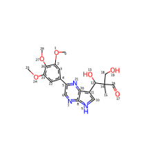 COc1cc(-c2cnc3[nH]cc(C(O)C(C)(C=O)CO)c3n2)cc(OC)c1OC